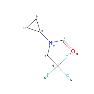 O=[C]N(CC(F)(F)F)C1CC1